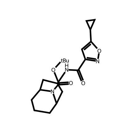 CC(C)(C)OC(=O)N1C2CCCC1CC(NC(=O)c1cc(C3CC3)on1)C2